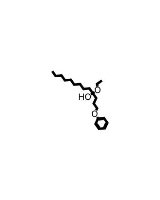 CCCCCCCCCC(O)(CCCOc1ccccc1)OCC